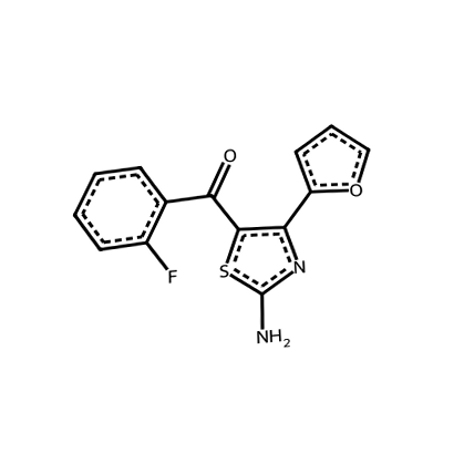 Nc1nc(-c2ccco2)c(C(=O)c2ccccc2F)s1